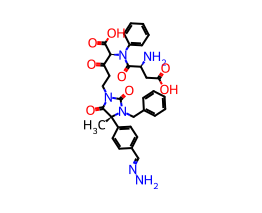 C[C@@]1(c2ccc(C=NN)cc2)C(=O)N(CCC(=O)[C@@H](C(=O)O)N(C(=O)[C@@H](N)CC(=O)O)c2ccccc2)C(=O)N1Cc1ccccc1